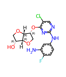 Nc1cc(Nc2ncc(Cl)c(O[C@@H]3CO[C@H]4[C@@H]3OC[C@H]4O)n2)ccc1F